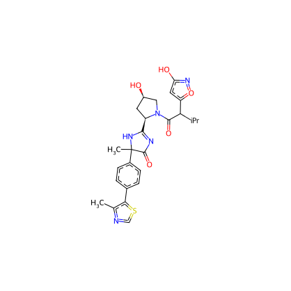 Cc1ncsc1-c1ccc(C2(C)NC([C@H]3C[C@@H](O)CN3C(=O)C(c3cc(O)no3)C(C)C)=NC2=O)cc1